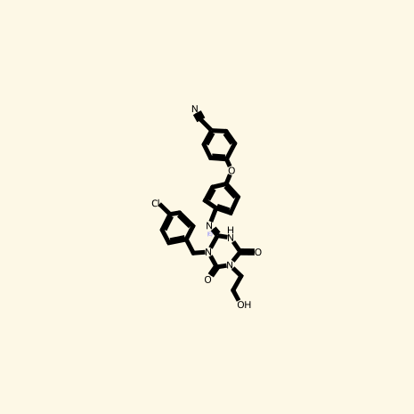 N#Cc1ccc(Oc2ccc(/N=c3\[nH]c(=O)n(CCO)c(=O)n3Cc3ccc(Cl)cc3)cc2)cc1